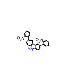 O=[N+]([O-])c1ccccc1-c1ccc2[nH]c3ccc(-c4ccccc4[N+](=O)[O-])cc3c2c1